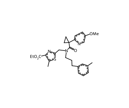 CCOC(=O)c1nc(CN(CCCc2cccc(C)c2)C(=O)C2(c3ccc(OC)cn3)CC2)sc1C